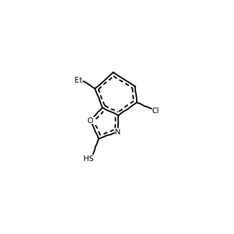 CCc1ccc(Cl)c2nc(S)oc12